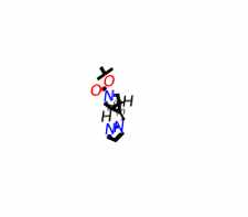 CC(C)(C)OC(=O)N1C[C@@H]2[C@H](C1)[C@H]2Cn1cccn1